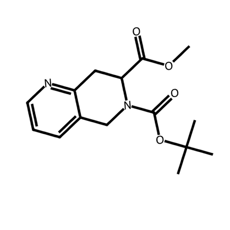 COC(=O)C1Cc2ncccc2CN1C(=O)OC(C)(C)C